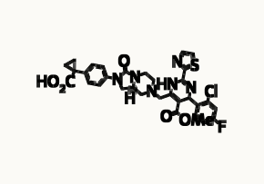 COC(=O)C1=C(CN2CCN3C(=O)N(c4ccc(C5(C(=O)O)CC5)cc4)C[C@@H]3C2)NC(c2nccs2)=NC1c1ccc(F)cc1Cl